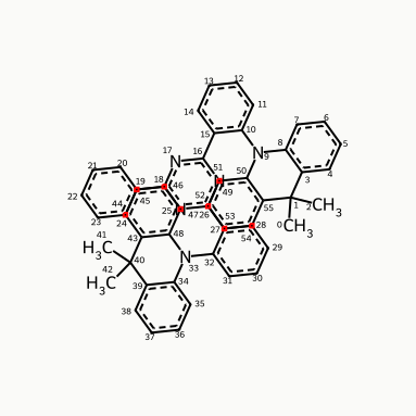 CC1(C)c2ccccc2N(c2ccccc2-c2nc(-c3ccccc3)nc(-c3ccccc3N3c4ccccc4C(C)(C)c4ccccc43)n2)c2ccccc21